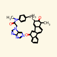 CC(C)c1ccc(N(C)C(=O)Cn2cnc3ncncc32)cc1.CC1C=c2c(ccc3c2=CC(=O)c2ccccc2-3)C(C)C1=O